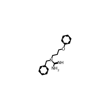 N=C(N)N(CCCOc1ccccc1)Cc1ccccc1